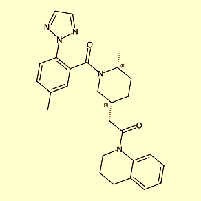 Cc1ccc(-n2nccn2)c(C(=O)N2C[C@@H](CC(=O)N3CCCc4ccccc43)CC[C@H]2C)c1